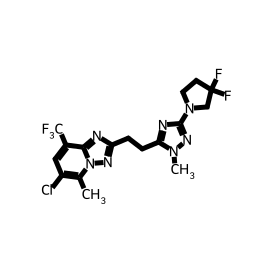 Cc1c(Cl)cc(C(F)(F)F)c2nc(CCc3nc(N4CCC(F)(F)C4)nn3C)nn12